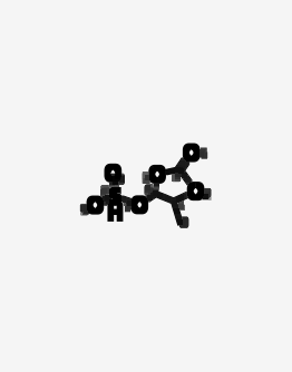 CC1OC(=O)OC1O[SH](=O)=O